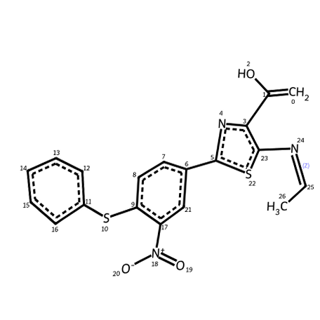 C=C(O)c1nc(-c2ccc(Sc3ccccc3)c([N+](=O)[O-])c2)sc1/N=C\C